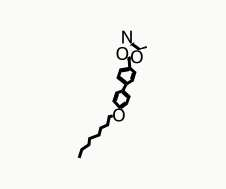 CCCCCCCCOc1ccc(-c2ccc(C(=O)O[C@H](C)C#N)cc2)cc1